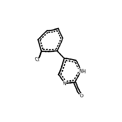 O=c1ncc(-c2ccccc2Cl)c[nH]1